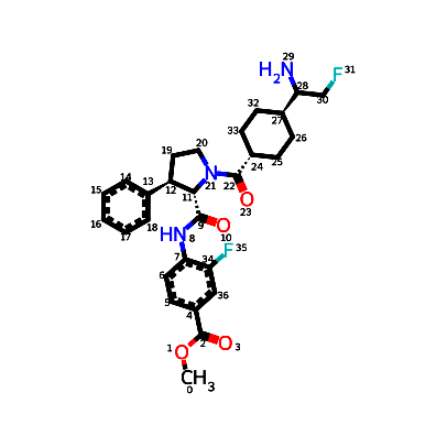 COC(=O)c1ccc(NC(=O)[C@@H]2[C@@H](c3ccccc3)CCN2C(=O)[C@H]2CC[C@H](C(N)CF)CC2)c(F)c1